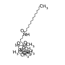 CCCCCCCCCCCCCCCC(=O)NCCC[C@@H]1O[C@@H]2CO[Si](C(C)(C)C)(C(C)(C)C)O[C@H]2[C@H]1OC